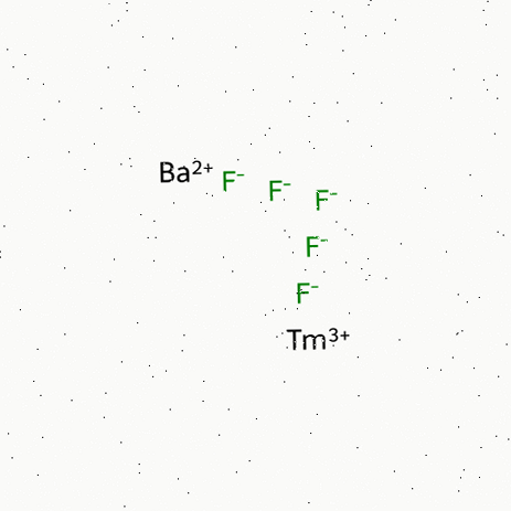 [Ba+2].[F-].[F-].[F-].[F-].[F-].[Tm+3]